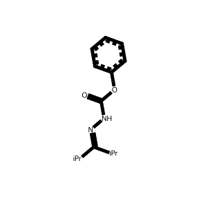 CC(C)C(=NNC(=O)Oc1ccccc1)C(C)C